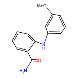 COc1cccc(Nc2ccccc2C(N)=O)c1